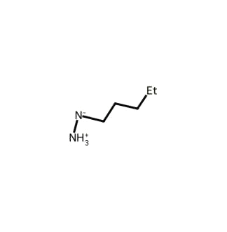 CCCCC[N-][NH3+]